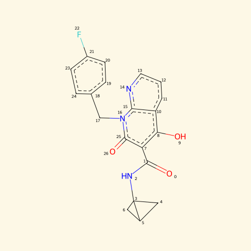 O=C(NC12CC1C2)c1c(O)c2cccnc2n(Cc2ccc(F)cc2)c1=O